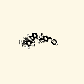 BC1(O)C(=O)NC(=O)C(O)(N2Cc3c(NC(O)(O)c4ccc(CN5CCOCC5)cc4F)cccc3C2=O)C1(B)B